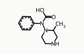 CC1CNCCN1N(C(=O)O)c1ccccc1